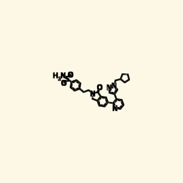 NS(=O)(=O)c1ccc(CCN2Cc3ccc(-c4ncccc4-c4cnn(CC5CCCC5)c4)cc3C2=O)cc1